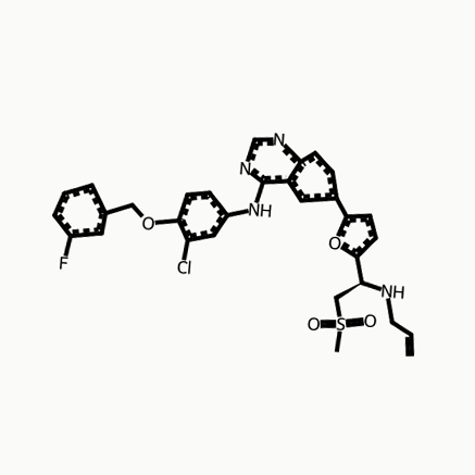 C=CCN[C@@H](CS(C)(=O)=O)c1ccc(-c2ccc3ncnc(Nc4ccc(OCc5cccc(F)c5)c(Cl)c4)c3c2)o1